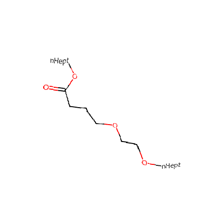 CCCCCCCOCCOCCCC(=O)OCCCCCCC